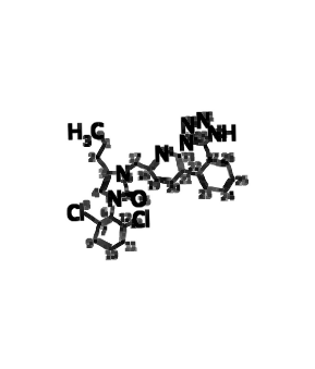 CCCc1cn(-c2c(Cl)cccc2Cl)c(=O)n1Cc1ccc(-c2ccccc2-c2nnn[nH]2)cn1